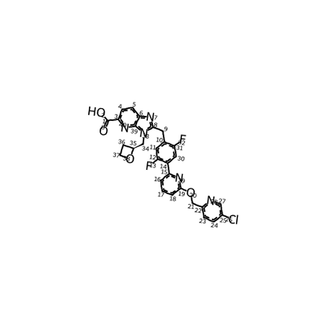 O=C(O)c1ccc2nc(Cc3cc(F)c(-c4cccc(OCc5ccc(Cl)cn5)n4)cc3F)n(C[C@@H]3CCO3)c2n1